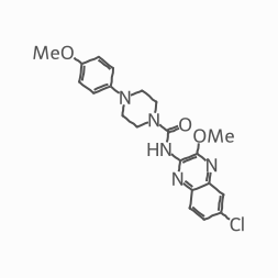 COc1ccc(N2CCN(C(=O)Nc3nc4ccc(Cl)cc4nc3OC)CC2)cc1